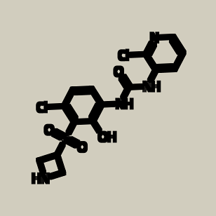 O=C(Nc1cccnc1Cl)Nc1ccc(Cl)c(S(=O)(=O)C2CNC2)c1O